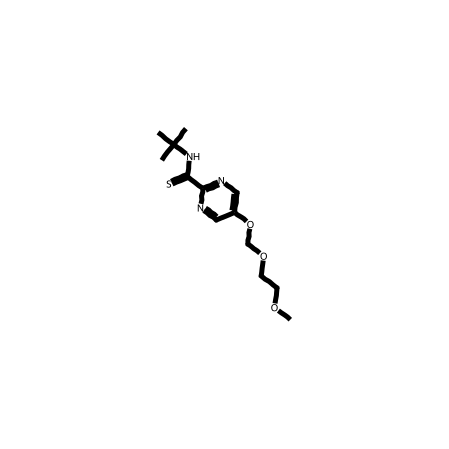 COCCOCOc1cnc(C(=S)NC(C)(C)C)nc1